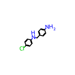 Nc1ccc(CNc2ccc(Cl)cc2)cc1